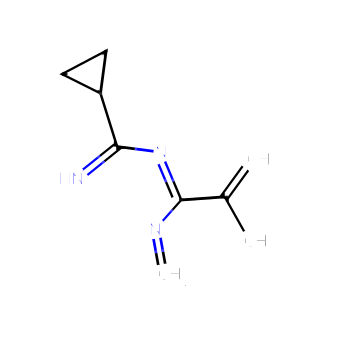 C=N/C(=N\C(=N)C1CC1)C(=C)C